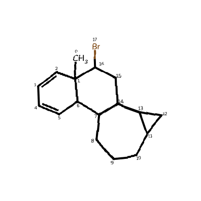 CC12C=CC=CC1C1CCCC3CC3C1CC2Br